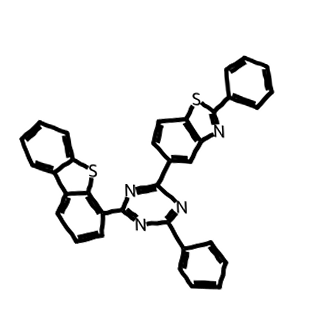 c1ccc(-c2nc(-c3ccc4sc(-c5ccccc5)nc4c3)nc(-c3cccc4c3sc3ccccc34)n2)cc1